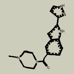 CN1CCN(C(=O)c2ccc3[nH]c(-c4cc[nH]n4)cc3c2)CC1